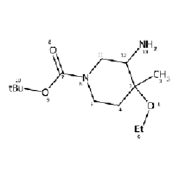 CCOC1(C)CCN(C(=O)OC(C)(C)C)CC1N